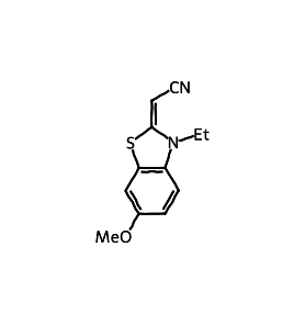 CCN1C(=CC#N)Sc2cc(OC)ccc21